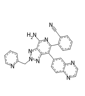 N#Cc1ccccc1-c1nc(N)c2nn(Cc3ccccn3)nc2c1-c1ccc2nccnc2c1